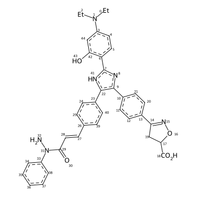 CCN(CC)c1ccc(-c2nc(-c3ccc(C4=NOC(C(=O)O)C4)cc3)c(-c3ccc(C=CC(=O)N(N)c4ccccc4)cc3)[nH]2)c(O)c1